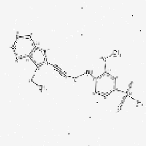 CCc1c(C#CCNc2ccc(S(C)(=O)=O)cc2OC)sc2cnccc12